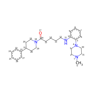 CN1CCN(c2ccccc2NCCCCC(=O)N2CCC(c3ccccc3)CC2)CC1